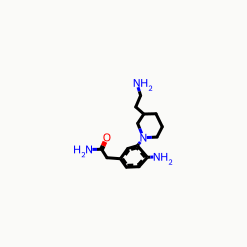 NCCC1CCCN(c2cc(CC(N)=O)ccc2N)C1